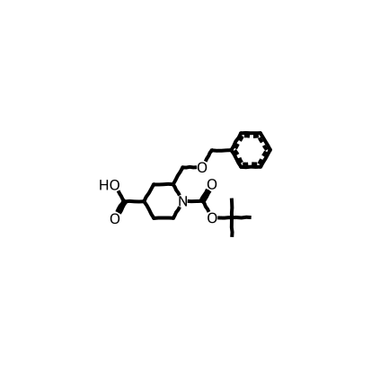 CC(C)(C)OC(=O)N1CCC(C(=O)O)CC1COCc1ccccc1